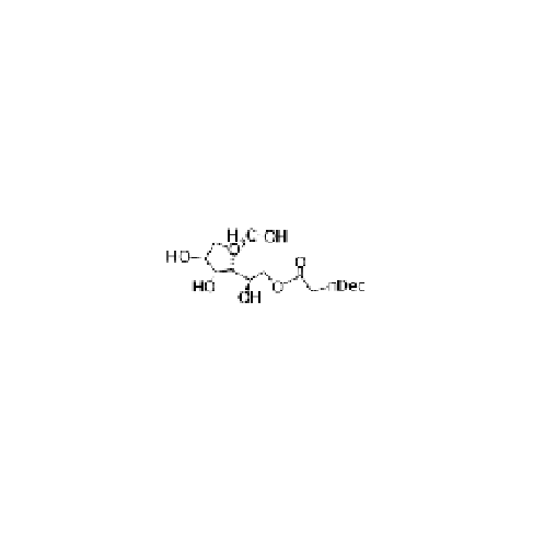 CCCCCCCCCCCC(=O)OC[C@@H](O)[C@H]1OC[C@H](O)[C@H]1O.CO